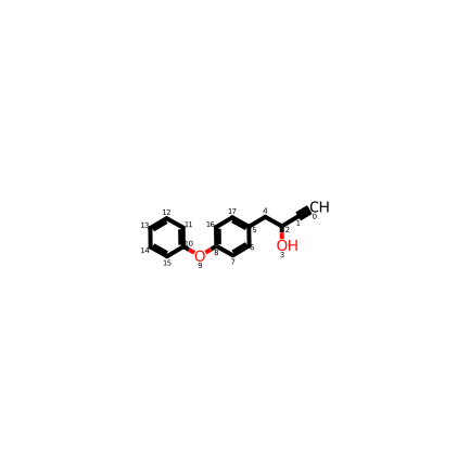 C#CC(O)Cc1ccc(Oc2ccccc2)cc1